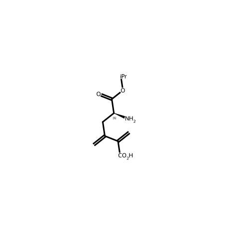 C=C(C[C@H](N)C(=O)OC(C)C)C(=C)C(=O)O